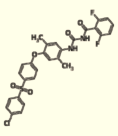 Cc1cc(Oc2ccc(S(=O)(=O)c3ccc(Cl)cc3)cc2)c(C)cc1NC(=O)NC(=O)c1c(F)cccc1F